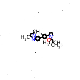 CC1CC(C)n2c1nc1ccc(-c3ccc(C4CCCN4C(=O)CC(C)(C)C)cc3)cc12